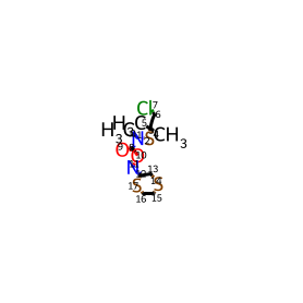 CN(SC(C)(C)CCl)C(=O)ON=C1CSCCS1